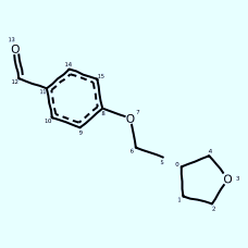 C1CCOC1.CCOc1ccc(C=O)cc1